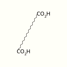 O=C(O)CCCCCCCCCCCCCCCCCCCC(=O)O